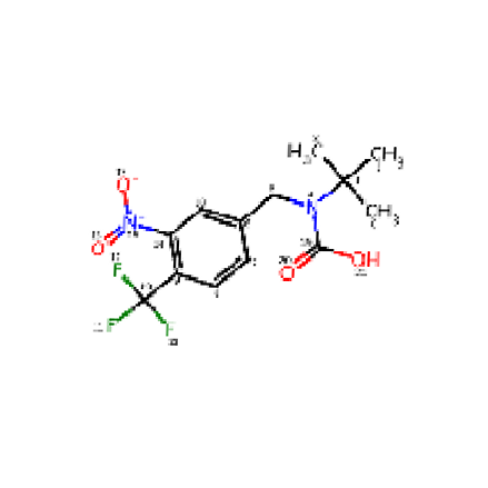 CC(C)(C)N(Cc1ccc(C(F)(F)F)c([N+](=O)[O-])c1)C(=O)O